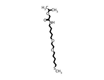 CSCCCCCOCCOCCCCCNC(=O)COC(C)C